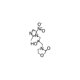 Cc1ncc([N+](=O)[O-])n1C[C@H](O)CN1CCOCC1=O